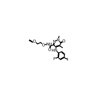 C=COCCONC(=O)c1nn(C)c(=O)c(C)c1Nc1ccc(I)cc1F